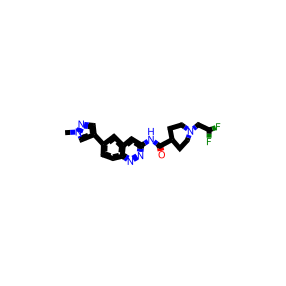 Cn1cc(-c2ccc3nnc(NC(=O)C4CCN(CC(F)F)CC4)cc3c2)cn1